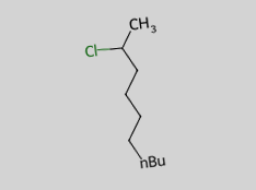 CCCCCCCCC(C)Cl